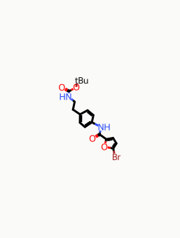 CC(C)(C)OC(=O)NCCc1ccc(NC(=O)c2ccc(Br)o2)cc1